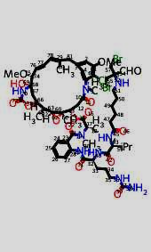 COc1cc2cc(c1Cl)N(C)C(=O)C[C@H](OC(=O)[C@H](C)N(C)C(=O)c1ccccc1NC(=O)[C@H](CCCNC(N)=O)NC(=O)[C@@H](NC(=O)CCCCCNC(C=O)(CBr)CBr)C(C)C)[C@]1(C)O[C@H]1[C@H](C)[C@@H]1C[C@@](O)(NC(=O)O1)[C@H](OC)/C=C/C=C(\C)C2